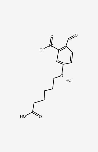 Cl.O=Cc1ccc(OCCCCCC(=O)O)cc1[N+](=O)[O-]